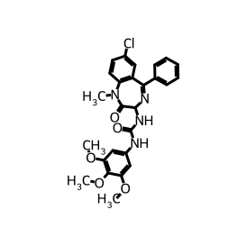 COc1cc(NC(=O)NC2N=C(c3ccccc3)c3cc(Cl)ccc3N(C)C2=O)cc(OC)c1OC